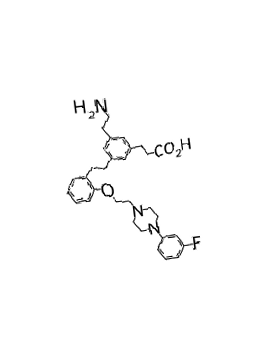 NCCc1cc(CCC(=O)O)cc(CCc2ccccc2OCCN2CCN(c3cccc(F)c3)CC2)c1